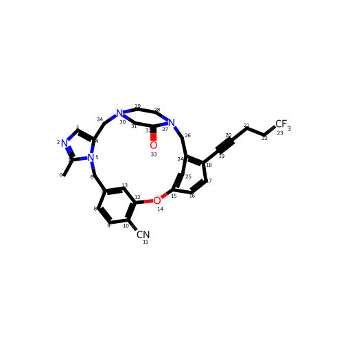 Cc1ncc2n1Cc1ccc(C#N)c(c1)Oc1ccc(C#CCCC(F)(F)F)c(c1)CN1CCN(CC1=O)C2